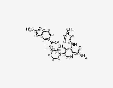 Cc1nc2cc(C(=O)N[C@@H]3CCCN(c4cnc(C(N)=O)c(Nc5cnn(C)c5)n4)[C@@H]3C)ccc2o1